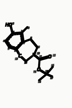 Cc1c(O)ccc2c1CCN(C(=O)OC(C)(C)C)CC2